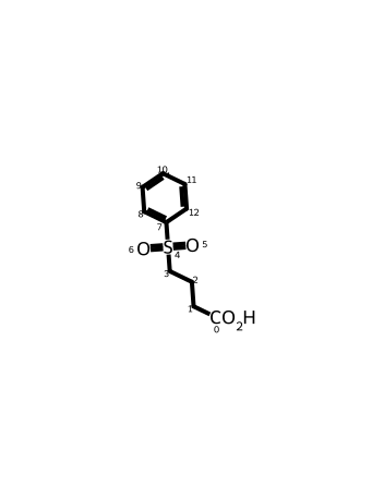 O=C(O)CCCS(=O)(=O)c1cc[c]cc1